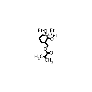 C=C(C)C(=O)OCC1CCC[Si](OCC)(OCC)C1OCC